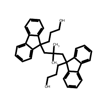 CC(C)(CC1(CCCO)c2ccccc2-c2ccccc21)CC1(CCCO)c2ccccc2-c2ccccc21